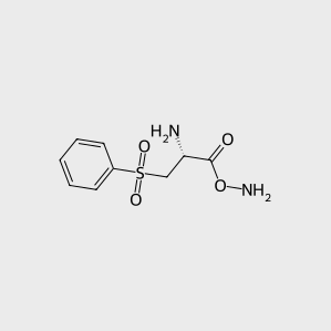 NOC(=O)[C@@H](N)CS(=O)(=O)c1ccccc1